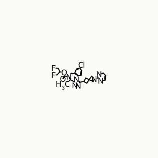 CC1c2nnc(C3CC4(C3)CN(c3ncccn3)C4)n2-c2ccc(Cl)cc2CN1C(=O)OC(CF)CF